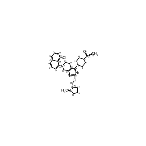 C=CC(=O)C1CCN(c2nc(OC[C@@H]3CCCN3C)nc3c2CCN(c2cccc4cccc(Cl)c24)C3)CC1